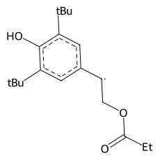 CCC(=O)OC[CH]c1cc(C(C)(C)C)c(O)c(C(C)(C)C)c1